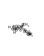 COc1ccc(C(OC[C@H]2O[C@@H](n3cc(C)c(=O)[nH]c3=O)C(O)C2O)(c2ccccc2)c2ccc(OC(=O)OCC(C)c3ccccc3[N+](=O)[O-])cc2)cc1